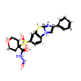 O=NNC(=O)C1(S(=O)(=O)c2ccc3c(c2)sc2nc(-c4ccccc4)cn23)CCOCC1